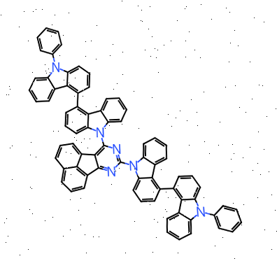 c1ccc(-n2c3ccccc3c3c(-c4cccc5c4c4ccccc4n5-c4nc5c(c(-n6c7ccccc7c7c(-c8cccc9c8c8ccccc8n9-c8ccccc8)cccc76)n4)-c4cccc6cccc-5c46)cccc32)cc1